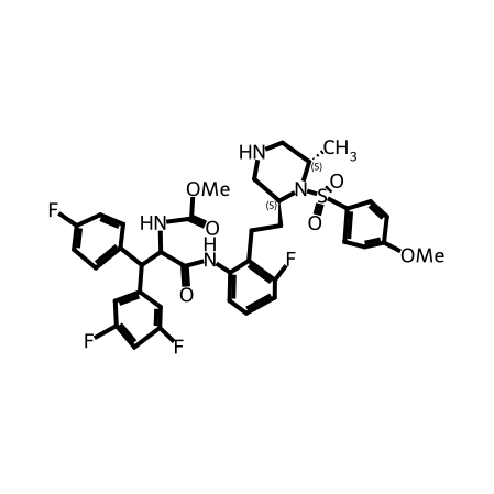 COC(=O)NC(C(=O)Nc1cccc(F)c1CC[C@H]1CNC[C@H](C)N1S(=O)(=O)c1ccc(OC)cc1)C(c1ccc(F)cc1)c1cc(F)cc(F)c1